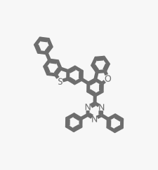 c1ccc(-c2ccc3sc4cc(-c5cc(-c6nc(-c7ccccc7)nc(-c7ccccc7)n6)cc6oc7ccccc7c56)ccc4c3c2)cc1